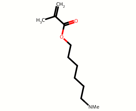 C=C(C)C(=O)OCCCCCCNC